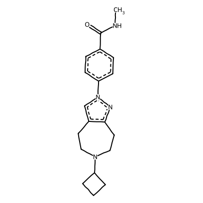 CNC(=O)c1ccc(-n2cc3c(n2)CCN(C2CCC2)CC3)cc1